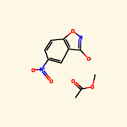 COC(C)=O.[O]c1noc2ccc([N+](=O)[O-])cc12